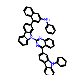 c1ccc(Nc2cc(-c3ccc4c5ccccc5n(-c5nc(-c6ccc7c8ccccc8n(-c8ccccc8)c7c6)c6ccccc6n5)c4c3)c3ccccc3c2)cc1